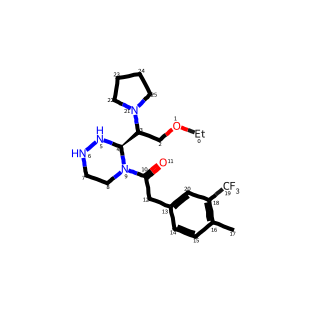 CCOCC([C@@H]1NNCCN1C(=O)Cc1ccc(C)c(C(F)(F)F)c1)N1CCCC1